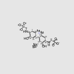 O=S(=O)([O-])CNc1cc(/[As]=[As]\c2ccc(O)c(NCS(=O)(=O)[O-])c2)ccc1O.[Na+].[Na+]